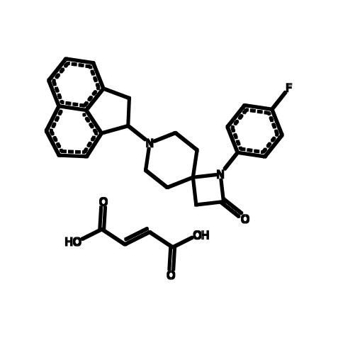 O=C(O)C=CC(=O)O.O=C1CC2(CCN(C3Cc4cccc5cccc3c45)CC2)N1c1ccc(F)cc1